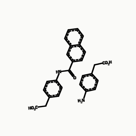 Nc1ccc(CC(=O)O)cc1.O=C(O)Cc1ccc(NC(=O)c2ccc3ccccc3c2)cc1